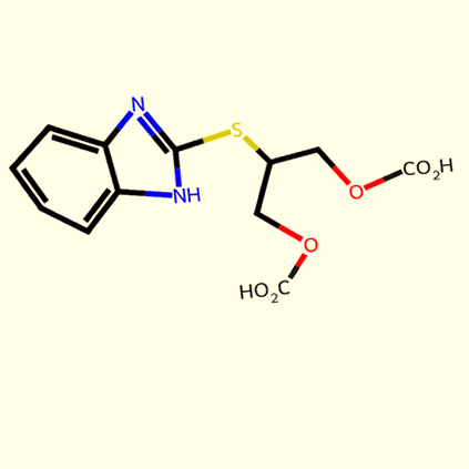 O=C(O)OCC(COC(=O)O)Sc1nc2ccccc2[nH]1